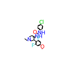 CCN1CC[C@@H](NC(=O)Nc2ccc(Cl)cc2)C(c2c(F)cc(OC)cc2F)C1